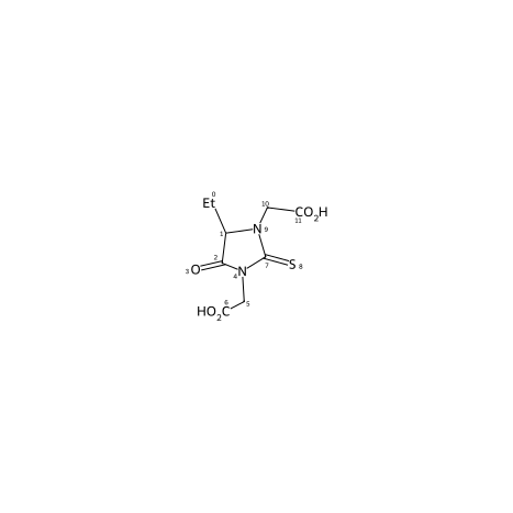 CCC1C(=O)N(CC(=O)O)C(=S)N1CC(=O)O